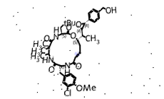 COc1ccc(C[C@H]2NC(=O)/C=C/C[C@@H](C(C)[C@H]3O[C@@H]3c3ccc(CO)cc3)OC(=O)[C@H](CC(C)(C)C)NC(=O)C(C)(C)C(C)NC2=O)cc1Cl